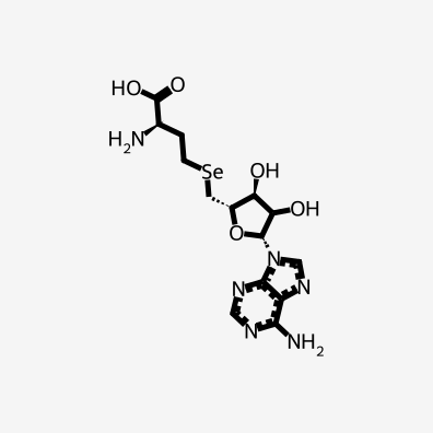 Nc1ncnc2c1ncn2[C@@H]1O[C@H](C[Se]CC[C@@H](N)C(=O)O)[C@@H](O)C1O